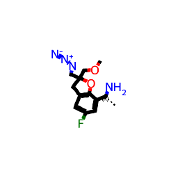 COCC1(CN=[N+]=[N-])Cc2cc(F)cc([C@@H](C)N)c2O1